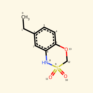 CCc1ccc2c(c1)NS(=O)(=O)CO2